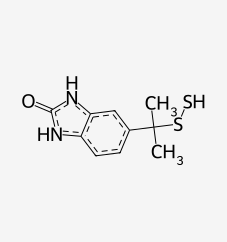 CC(C)(SS)c1ccc2[nH]c(=O)[nH]c2c1